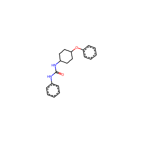 O=C(Nc1ccccc1)NC1CCC(Oc2ccccc2)CC1